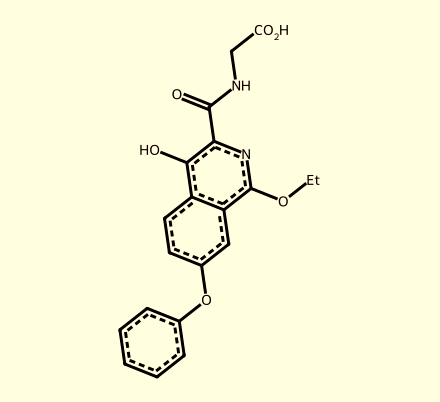 CCOc1nc(C(=O)NCC(=O)O)c(O)c2ccc(Oc3ccccc3)cc12